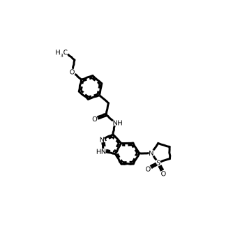 CCOc1ccc(CC(=O)Nc2n[nH]c3ccc(N4CCCS4(=O)=O)cc23)cc1